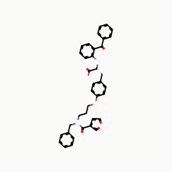 O=C(c1ccccc1)c1ccccc1N[C@@H](Cc1ccc(OCCCN(Cc2ccccc2)C(=O)c2ccoc2)cc1)C(=O)O